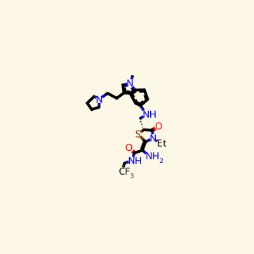 CCN1C(=O)[C@@H](CNc2ccc3c(c2)c(CCN2CCCC2)cn3C)S/C1=C(/N)C(=O)NCC(F)(F)F